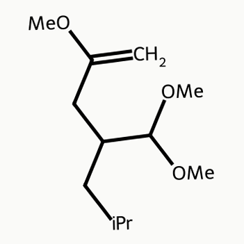 C=C(CC(CC(C)C)C(OC)OC)OC